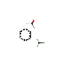 CC(C)=O.ClC(Cl)Cl.c1ccccc1